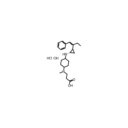 CCC(=Cc1ccccc1)C1C[C@@H]1NC1CCC(N(C)CCC(=O)O)CC1.Cl.Cl